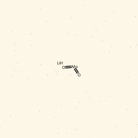 [LiH].[O]=[Mo]=[O]